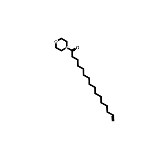 C=CCCCCCCCCCCCCCC(=O)N1CCOCC1